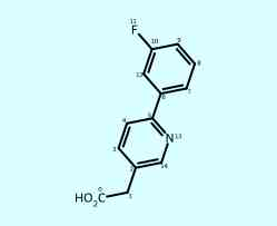 O=C(O)Cc1ccc(-c2cccc(F)c2)nc1